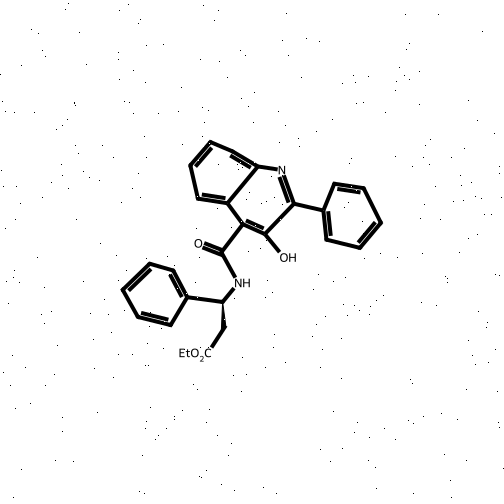 CCOC(=O)C[C@H](NC(=O)c1c(O)c(-c2ccccc2)nc2ccccc12)c1ccccc1